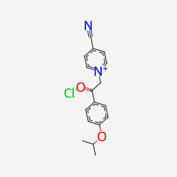 CC(C)Oc1ccc(C(=O)C[n+]2ccc(C#N)cc2)cc1.[Cl-]